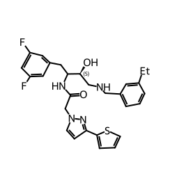 CCc1cccc(CNC[C@H](O)C(Cc2cc(F)cc(F)c2)NC(=O)Cn2ccc(-c3cccs3)n2)c1